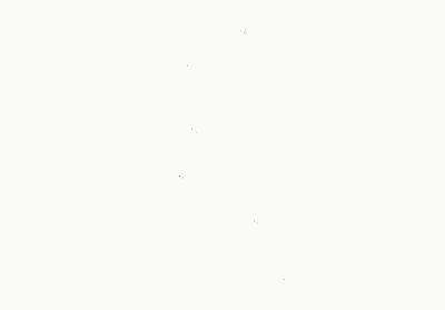 CNC(=O)c1ccc(N2CCN(Cc3ccc4cc(C(F)(F)F)c(=O)[nH]c4c3)[C@H]3CC[C@H]32)cn1